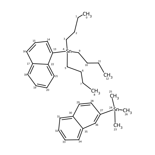 CCC[CH2][Sn]([CH2]CCC)([CH2]CCC)[c]1cccc2ccccc12.[CH3][Sn]([CH3])([CH3])[c]1ccc2ccccc2c1